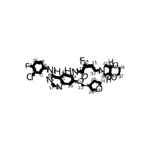 O=C(Nc1cc2c(Nc3ccc(F)c(Cl)c3)ncnc2cc1OC[C@H]1CCOC1)/C(F)=C\CN1C[C@@H]2OCCO[C@H]2C1